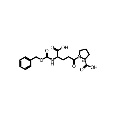 O=C(NC(CCC(=O)N1CCC[C@H]1C(=O)O)C(=O)O)OCc1ccccc1